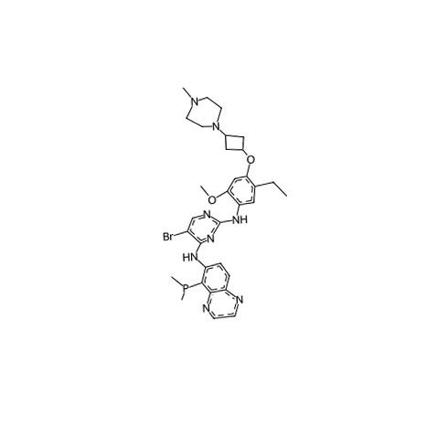 CCc1cc(Nc2ncc(Br)c(Nc3ccc4nccnc4c3P(C)C)n2)c(OC)cc1OC1CC(N2CCN(C)CC2)C1